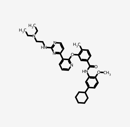 CCN(CC)CCNc1nccc(-c2cccnc2Oc2cc(C(=O)Nc3cc(C4CCCCC4)ccc3OC)ccc2C)n1